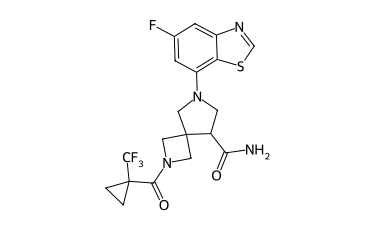 NC(=O)C1CN(c2cc(F)cc3ncsc23)CC12CN(C(=O)C1(C(F)(F)F)CC1)C2